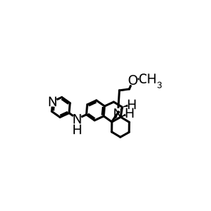 COCCN1CCC[C@]23CCCC[C@H]2[C@H]1Cc1ccc(Nc2ccncc2)cc13